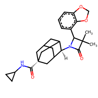 CC1(C)C(=O)N([C@H]2C3CC4CC2C[C@](C(=O)NC2CC2)(C4)C3)C1c1cccc2c1OCO2